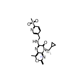 C=C(Cl)/N=C1\C(=C(C)C)N=C(NCc2ccc(S(C)(=O)=O)nc2)C(=O)N1[C@@H](C)C1CC1